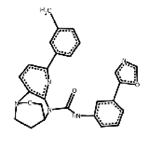 Cc1cccc(-c2ccc3c(n2)N(C(=O)Nc2cccc(-c4cnco4)c2)C2CCN3CC2)c1